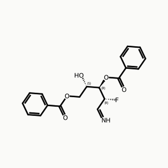 N=C[C@@H](F)[C@H](OC(=O)c1ccccc1)[C@@H](O)COC(=O)c1ccccc1